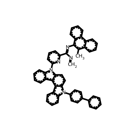 C=N/C(=N\c1c(C)c2ccccc2c2ccccc12)c1cccc(-n2c3ccccc3c3c4c5ccccc5n(-c5ccc(-c6ccccc6)cc5)c4ccc32)n1